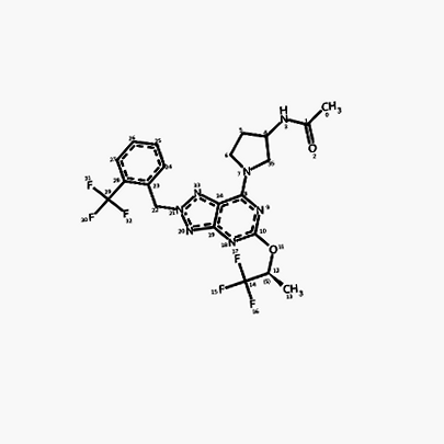 CC(=O)NC1CCN(c2nc(O[C@@H](C)C(F)(F)F)nc3nn(Cc4ccccc4C(F)(F)F)nc23)C1